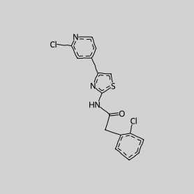 O=C(Cc1ccccc1Cl)Nc1nc(-c2ccnc(Cl)c2)cs1